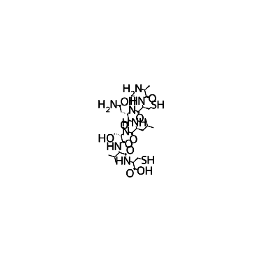 CC(C)C[C@H](NC(=O)[C@H](CC(N)=O)NC(=O)[C@H](CS)NC(=O)[C@H](C)N)C(=O)N[C@@H](CO)C(=O)N[C@H](C(=O)N[C@@H](CS)C(=O)O)C(C)C